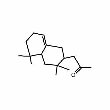 CC(=O)CC1CC2=CCCC(C)(C)C2CC1(C)C